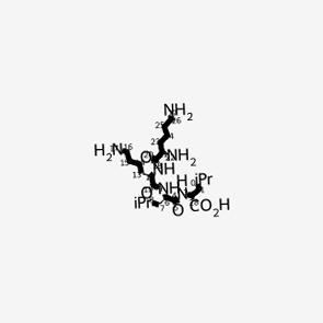 CC(C)C[C@H](NC(=O)[C@H](CC(C)C)NC(=O)[C@H](CCCCN)NC(=O)[C@@H](N)CCCCN)C(=O)O